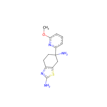 COc1cccc(C2(N)CCc3nc(N)sc3C2)n1